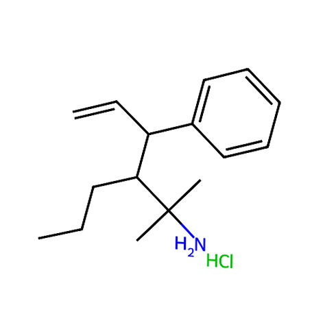 C=CC(c1ccccc1)C(CCC)C(C)(C)N.Cl